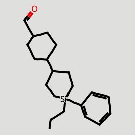 CCC[Si]1(c2ccccc2)CCC(C2CCC(C=O)CC2)CC1